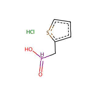 Cl.O=[PH](O)Cc1cccs1